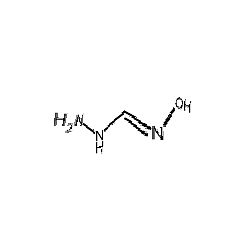 NNC=NO